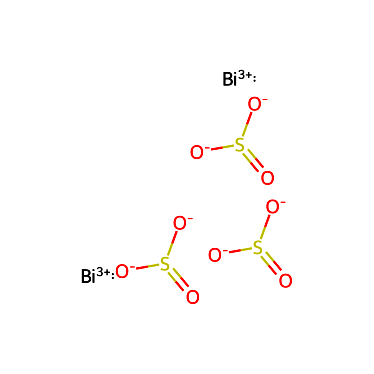 O=S([O-])[O-].O=S([O-])[O-].O=S([O-])[O-].[Bi+3].[Bi+3]